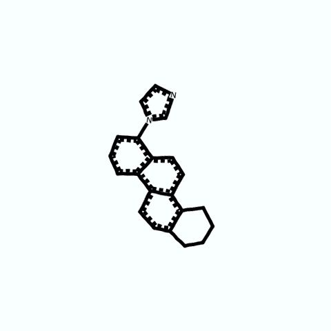 c1cc(-n2ccnc2)c2ccc3c4c(ccc3c2c1)CCCC4